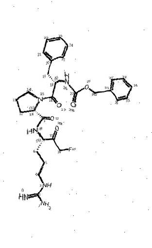 N=C(N)NCCC[C@H](NC(=O)[C@@H]1CCCN1C(=O)[C@H](Cc1ccccc1)NC(=O)OCc1ccccc1)C(=O)CF